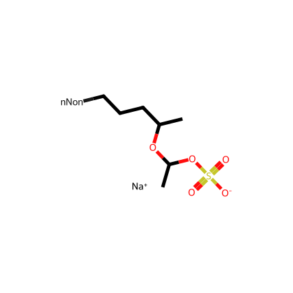 CCCCCCCCCCCCC(C)OC(C)OS(=O)(=O)[O-].[Na+]